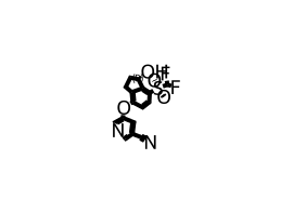 N#Cc1cncc(Oc2ccc(S(=O)(=O)C(F)F)c3c2CC[C@H]3O)c1